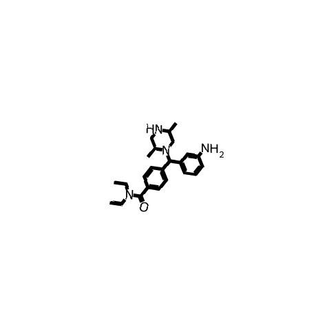 CCN(CC)C(=O)c1ccc(C(c2cccc(N)c2)N2CC(C)NCC2C)cc1